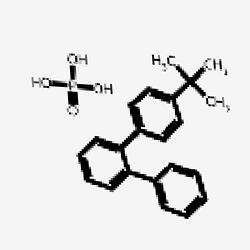 CC(C)(C)c1ccc(-c2ccccc2-c2ccccc2)cc1.O=P(O)(O)O